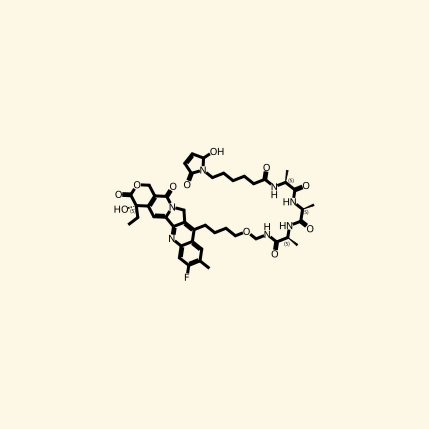 CC[C@@]1(O)C(=O)OCc2c1cc1n(c2=O)Cc2c-1nc1cc(F)c(C)cc1c2CCCCOCNC(=O)[C@H](C)NC(=O)[C@H](C)NC(=O)[C@H](C)NC(=O)CCCCCN1C(=O)C=CC1O